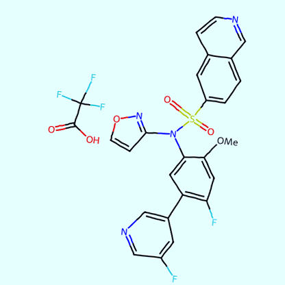 COc1cc(F)c(-c2cncc(F)c2)cc1N(c1ccon1)S(=O)(=O)c1ccc2cnccc2c1.O=C(O)C(F)(F)F